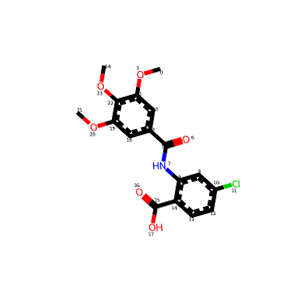 COc1cc(C(=O)Nc2cc(Cl)ccc2C(=O)O)cc(OC)c1OC